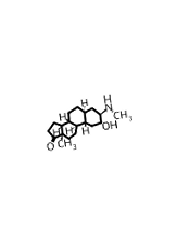 CN[C@@H]1C[C@@H]2CC[C@@H]3[C@H](CC[C@]4(C)C(=O)CC[C@@H]34)[C@H]2C[C@@H]1O